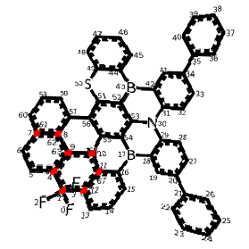 FC(F)(F)c1ccccc1N1c2ccccc2B2c3cc(-c4ccccc4)ccc3N3c4ccc(-c5ccccc5)cc4B4c5ccccc5Sc5c4c3c2c1c5-c1ccccc1-c1ccccc1